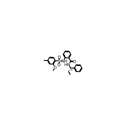 CC[C@H](NC(=O)c1ccccc1NS(=O)(=O)c1ccc(C)cc1OC)c1ccccc1